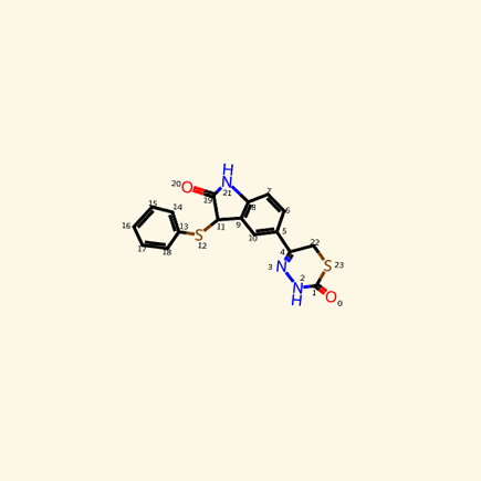 O=C1NN=C(c2ccc3c(c2)C(Sc2ccccc2)C(=O)N3)CS1